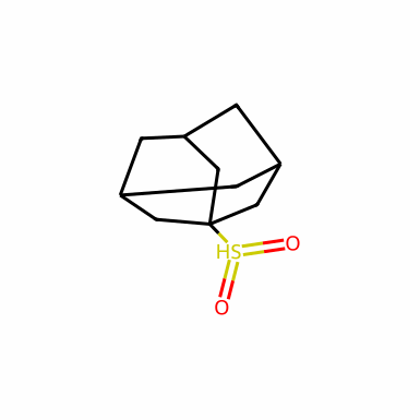 O=[SH](=O)C12CC3CC(CC(C3)C1)C2